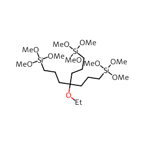 CCOC(CCC[Si](OC)(OC)OC)(CCC[Si](OC)(OC)OC)CCC[Si](OC)(OC)OC